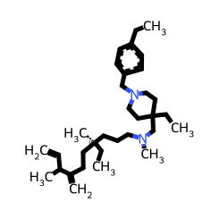 C=CC(C)C(=C)CC[C@](C)(CC)CCCN(C)CC1(CC)CCN(Cc2ccc(CC)cc2)CC1